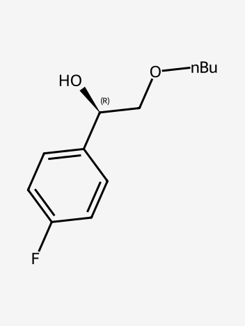 CCCCOC[C@H](O)c1ccc(F)cc1